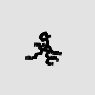 CCCC/C=C/CC(=O)N(NCC(N)CS)[C@@](CCSC)(Cc1ccccc1C)C(=O)O